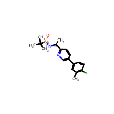 Cc1cc(-c2ccc([C@H](C)N[S@@+]([O-])C(C)(C)C)nc2)ccc1F